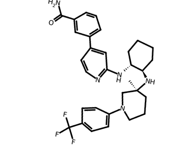 C[C@]1(N[C@@H]2CCCC[C@H]2Nc2cc(-c3cccc(C(N)=O)c3)ccn2)CCCN(c2ccc(C(F)(F)F)cc2)C1